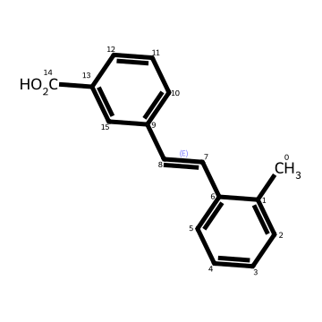 Cc1ccccc1/C=C/c1cccc(C(=O)O)c1